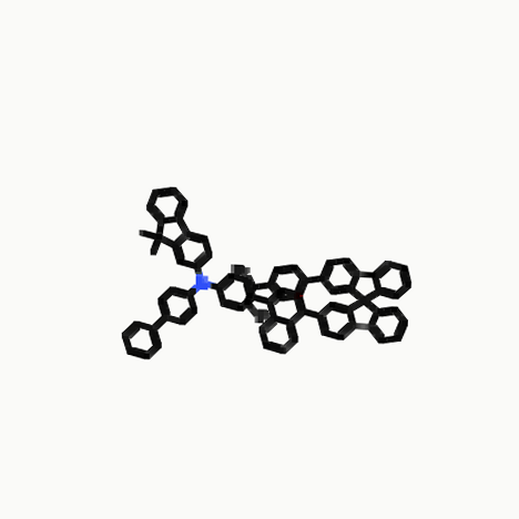 CC(C)CC(c1ccc(-c2ccc3c(c2)C2(c4ccccc4-3)c3ccccc3-c3ccc(-c4ccc(-c5ccc(N(c6ccc(-c7ccccc7)cc6)c6ccc7c(c6)C(C)(C)c6ccccc6-7)cc5)c5ccccc45)cc32)cc1)C(C)C